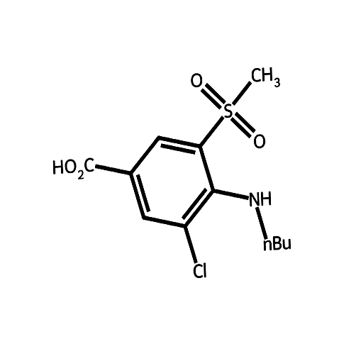 CCCCNc1c(Cl)cc(C(=O)O)cc1S(C)(=O)=O